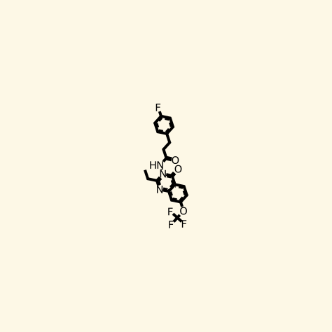 CCc1nc2cc(OC(F)(F)F)ccc2c(=O)n1NC(=O)CCc1ccc(F)cc1